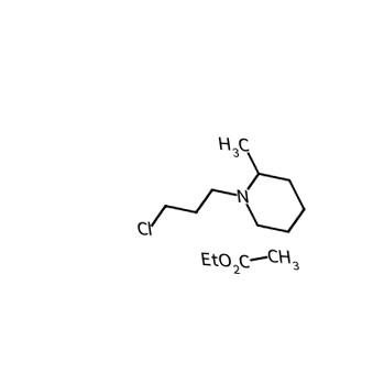 CC1CCCCN1CCCCl.CCOC(C)=O